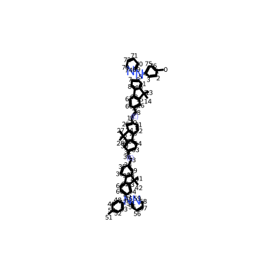 Cc1ccc(N(c2ccc3c(c2)C(C)(C)c2cc(/C=C/c4ccc5c(c4)C(C)(C)c4cc(/C=C/c6ccc7c(c6)C(C)(C)c6cc(N(c8ccc(C)cc8)c8ccccn8)ccc6-7)ccc4-5)ccc2-3)c2ccccn2)cc1